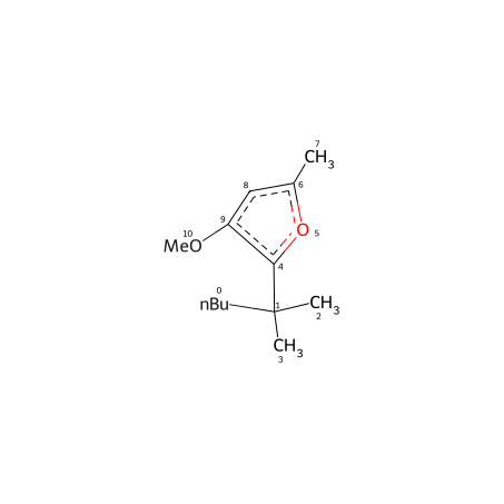 CCCCC(C)(C)c1oc(C)cc1OC